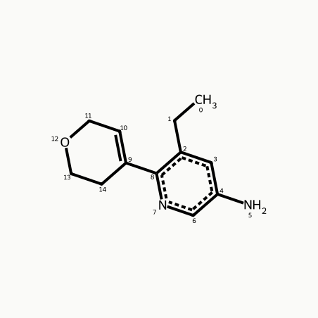 CCc1cc(N)cnc1C1=CCOCC1